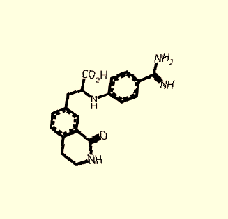 N=C(N)c1ccc(NC(Cc2ccc3c(c2)C(=O)NCC3)C(=O)O)cc1